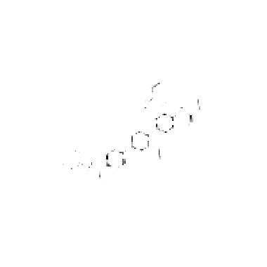 C=C(C)C(=O)Oc1ccc(-c2ccc(-c3ccc(C(=O)C(C)(C)N4CCOCC4)cc3)cc2CC)cc1OC(=O)C(=C)C